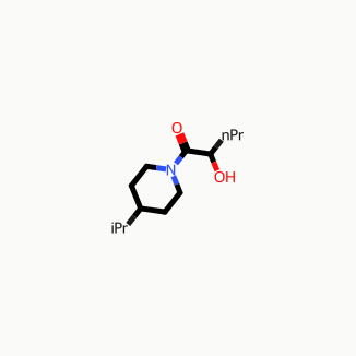 CCCC(O)C(=O)N1CCC(C(C)C)CC1